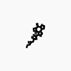 CCCNCc1nc(-c2ncn3c2[C@@H]2CCN2C(=O)c2sccc2-3)no1